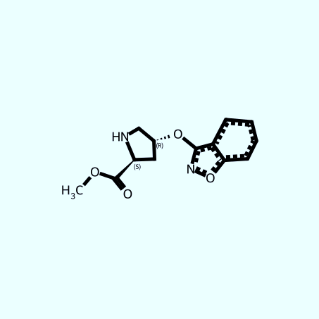 COC(=O)[C@@H]1C[C@@H](Oc2noc3ccccc23)CN1